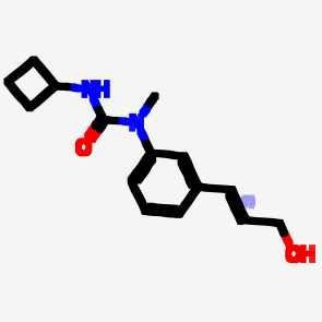 CN(C(=O)NC1CCC1)c1cccc(/C=C/CO)c1